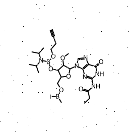 C#CCCOB(OC1C(COB(C)I)OC(n2cnc3c(=O)[nH]c(NC(=O)CC)nc32)C1OC)N(C(C)C)C(C)C